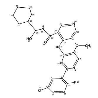 COc1cnc(-c2cc(Cl)ccc2F)nc1Nc1ccncc1C(=O)NC(O)C1CCCCC1